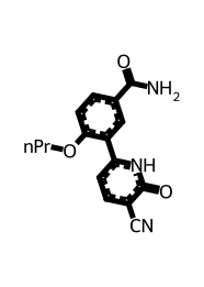 CCCOc1ccc(C(N)=O)cc1-c1ccc(C#N)c(=O)[nH]1